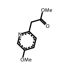 COC(=O)Cc1ccc(OC)cn1